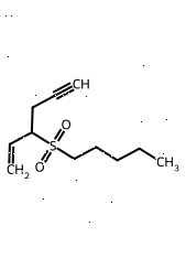 C#CCC(C=C)S(=O)(=O)CCCCC